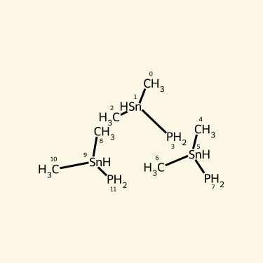 [CH3][SnH]([CH3])[PH2].[CH3][SnH]([CH3])[PH2].[CH3][SnH]([CH3])[PH2]